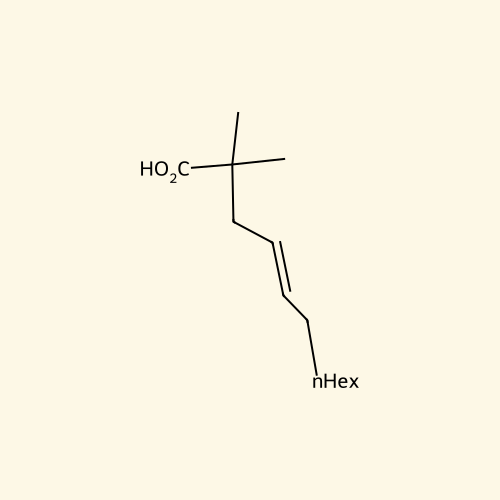 CCCCCCC/C=C/CC(C)(C)C(=O)O